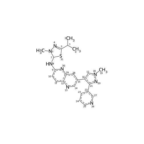 CC(C)C1=NN(C)C(Nc2ccc3ncc(-c4cn(C)nc4-c4cccnc4)cc3n2)S1